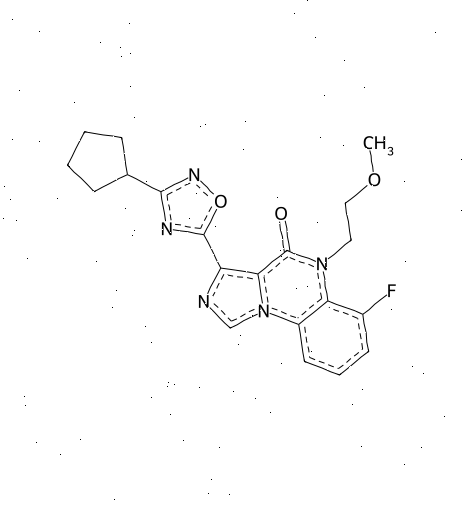 COCCn1c(=O)c2c(-c3nc(C4CCCC4)no3)ncn2c2cccc(F)c21